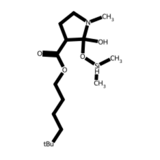 CN1CCC(C(=O)OCCCCC(C)(C)C)C1(O)O[SiH](C)C